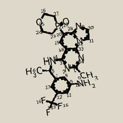 Cc1nc(N[C@H](C)c2cc(N)cc(C(F)(F)F)c2)c2cc(P3(=O)CCOCC3)c3nccn3c2n1